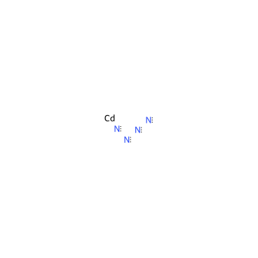 [Cd].[N].[N].[N].[N]